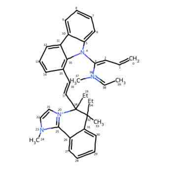 C=C/C=C(n1c2ccccc2c2cccc(/C=C/C3(CC)[n+]4ccn(C)c4-c4ccccc4C3(C)CC)c21)\[N+](C)=C/C